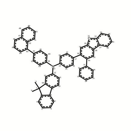 CC1(C)c2ccccc2-c2ccc(N(c3ccc(-c4cc5oc6ccccc6c5cc4-c4ccccc4)cc3)c3ccc(-c4cccc5ccccc45)cc3)cc21